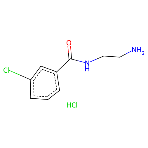 Cl.NCCNC(=O)c1cccc(Cl)c1